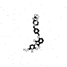 C=C1CCC(N2C(=O)c3cccc(OCc4ccc(CN5CCn6nc(C)nc6C5)cc4)c3C2=O)C(=O)N1